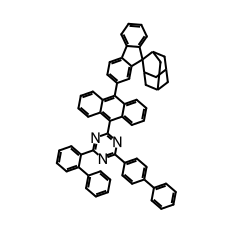 c1ccc(-c2ccc(-c3nc(-c4ccccc4-c4ccccc4)nc(-c4c5ccccc5c(-c5ccc6c(c5)C5(c7ccccc7-6)C6CC7CC(C6)CC5C7)c5ccccc45)n3)cc2)cc1